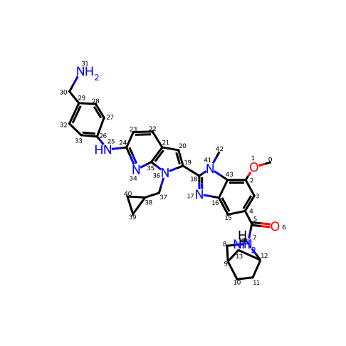 COc1cc(C(=O)N2CC3CCC2[C@@H]3N)cc2nc(-c3cc4ccc(Nc5ccc(CN)cc5)nc4n3CC3CC3)n(C)c12